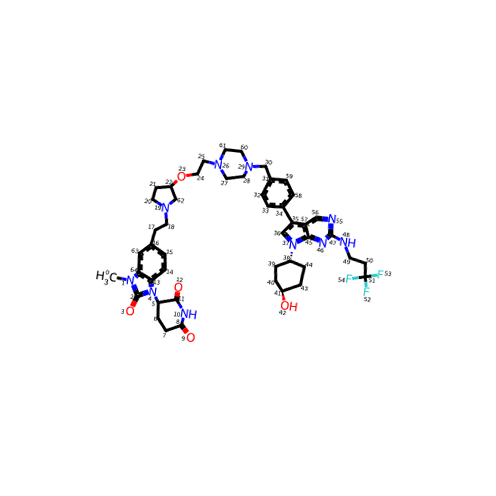 Cn1c(=O)n(C2CCC(=O)NC2=O)c2ccc(CCN3CCC(OCCN4CCN(Cc5ccc(-c6cn([C@H]7CC[C@H](O)CC7)c7nc(NCCC(F)(F)F)ncc67)cc5)CC4)C3)cc21